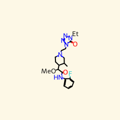 CCn1nnn(CCN2CCC(C(OC)C(=O)Nc3ccccc3F)C(C)C2)c1=O